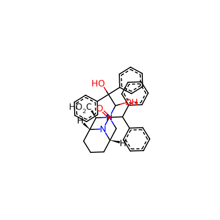 O=C(O)[C@@H]1[C@H]2CCC[C@@H](CN1C(O)C(O)(c1ccccc1)c1ccccc1)N2C(=O)C(c1ccccc1)c1ccccc1